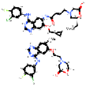 COC[C@H]1CN(C/C=C/C(=O)Nc2cc3c(Nc4ccc(F)c(Cl)c4)ncnc3cc2OCC2CC2)CC(=O)O1.COc1cc2ncnc(Nc3ccc(F)c(Cl)c3)c2cc1OCCN1CC(=O)O[C@@H](C)C1